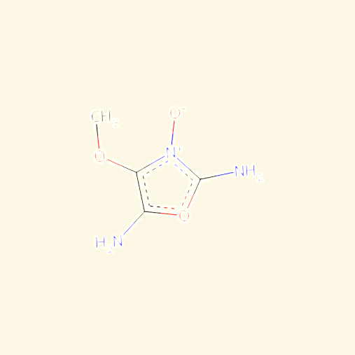 COc1c(N)oc(N)[n+]1[O-]